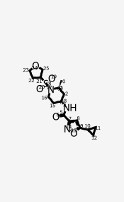 C[C@H]1C[C@@H](NC(=O)c2cc(C3CC3)on2)CCN1S(=O)(=O)C1CCOC1